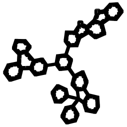 c1ccc(C2(c3ccccc3)c3ccccc3-c3ccc(-c4cc(-c5ccc6oc7c(ccc8c9ccccc9oc87)c6c5)cc(-c5ccc6c7ccccc7c7ccccc7c6c5)c4)cc32)cc1